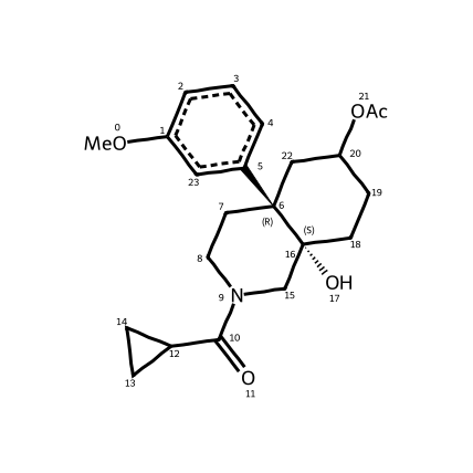 COc1cccc([C@]23CCN(C(=O)C4CC4)C[C@]2(O)CCC(OC(C)=O)C3)c1